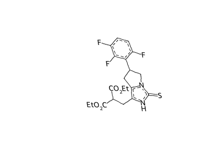 CCOC(=O)C(Cc1[nH]c(=S)n2c1CC(c1c(F)ccc(F)c1F)C2)C(=O)OCC